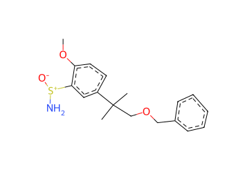 COc1ccc(C(C)(C)COCc2ccccc2)cc1[S+](N)[O-]